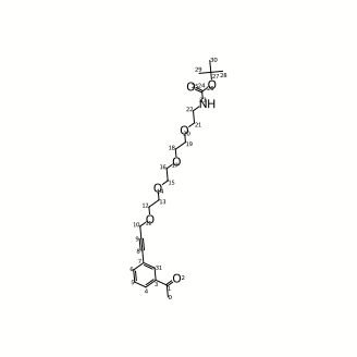 CC(=O)c1cccc(C#CCOCCOCCOCCOCCNC(=O)OC(C)(C)C)c1